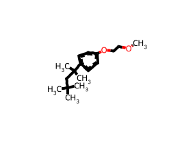 COCCOc1ccc(C(C)(C)CC(C)(C)C)cc1